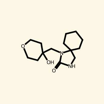 O=C1NCC2(CCCCC2)N1CC1(O)CCOCC1